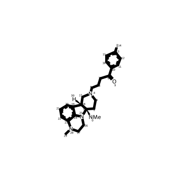 CN[C@]12CCN(CCCC(=O)c3ccc(I)cc3)C[C@H]1c1cccc3c1N2CCN3C